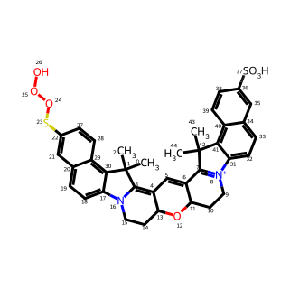 CC1(C)C2=C3C=C4C5=[N+](CCC4OC3CCN2c2ccc3cc(SOOO)ccc3c21)c1ccc2cc(S(=O)(=O)O)ccc2c1C5(C)C